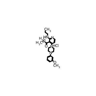 CCCNc1nccc(N2CCN(c3cccc(OC)c3)CC2)c1C(=O)N(C)C.Cl